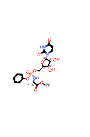 CC(C)OC(=O)[C@H](C)NP(=O)(OC[C@H]1O[C@@H](n2ccc(=O)[nH]c2=O)[C@H](O)[C@@H]1O)Oc1ccccc1